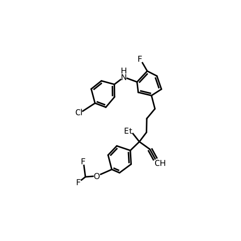 C#CC(CC)(CCCc1ccc(F)c(Nc2ccc(Cl)cc2)c1)c1ccc(OC(F)F)cc1